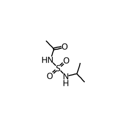 CC(=O)NS(=O)(=O)NC(C)C